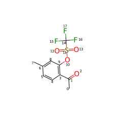 CC(=O)c1ccc(C)cc1OS(=O)(=O)C(F)(F)F